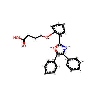 O=C(O)CCCOc1ccccc1-c1nc(-c2ccccc2)c(-c2ccccc2)o1